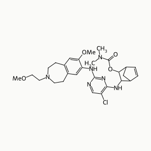 COCCN1CCc2cc(Nc3ncc(Cl)c(NC4C5C=CC(C5)C4OC(=O)N(C)C)n3)c(OC)cc2CC1